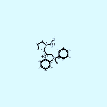 C[Si](C[C@@H](O)[C@@H]1CCCN1PCl)(c1ccccc1)c1ccccc1